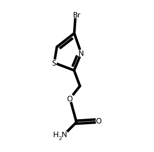 NC(=O)OCc1nc(Br)cs1